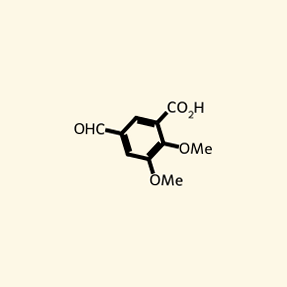 COc1cc(C=O)cc(C(=O)O)c1OC